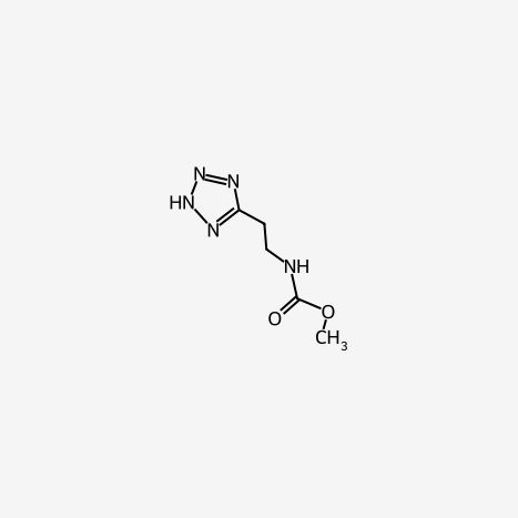 COC(=O)NCCc1nn[nH]n1